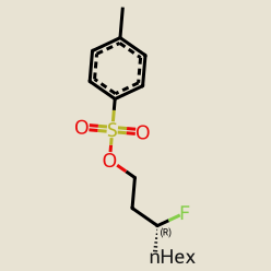 CCCCCC[C@@H](F)CCOS(=O)(=O)c1ccc(C)cc1